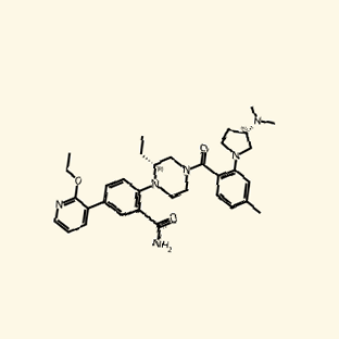 CCOc1ncccc1-c1ccc(N2CCN(C(=O)c3ccc(C)cc3N3CC[C@H](N(C)C)C3)C[C@H]2CC)c(C(N)=O)c1